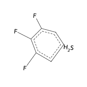 Fc1cccc(F)c1F.S